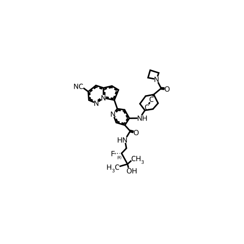 CC(C)(O)[C@H](F)CNC(=O)c1cnc(-c2ccc3cc(C#N)cnn23)cc1NC12CCC(C(=O)N3CCC3)(CC1)CC2